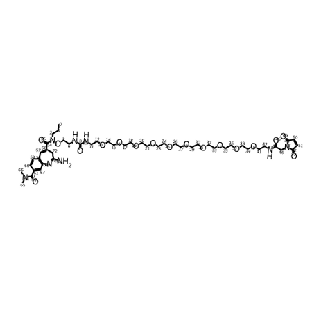 CCCN(OCCNC(=O)NCCOCCOCCOCCOCCOCCOCCOCCOCCOCCOCCNC(=O)CN1C(=O)C=CC1=O)C(=O)C1=Cc2ccc(C(=O)N(C)C)cc2N=C(N)C1